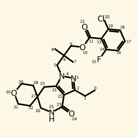 CCc1nn(CC(C)(C)COC(=O)c2c(F)cccc2Cl)c2c1C(=O)NCC1(CCOCC1)C2